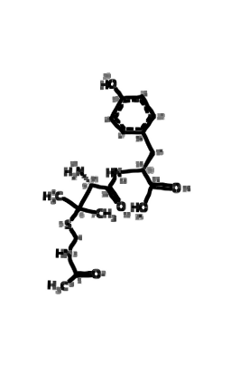 CC(=O)NCSC(C)(C)[C@H](N)C(=O)N[C@@H](Cc1ccc(O)cc1)C(=O)O